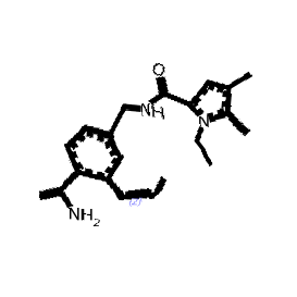 C=C(N)c1ccc(CNC(=O)c2cc(C)c(C)n2CC)cc1/C=C\C